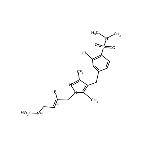 Cc1c(Cc2ccc(S(=O)(=O)N(C)C)c(Cl)c2)c(C(F)(F)F)nn1C/C(F)=C/CNC(=O)O